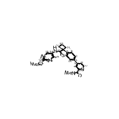 CNC(=O)c1cc(-c2ccc(C3(C(=O)Nc4cnc(OC)nc4)CCC3)cc2)ccn1